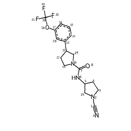 N#CN1CCC(NC(=O)N2CCC(c3cccc(OC(F)(F)F)c3)C2)C1